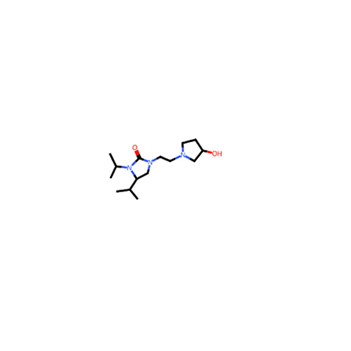 CC(C)C1CN(CCN2CCC(O)C2)C(=O)N1C(C)C